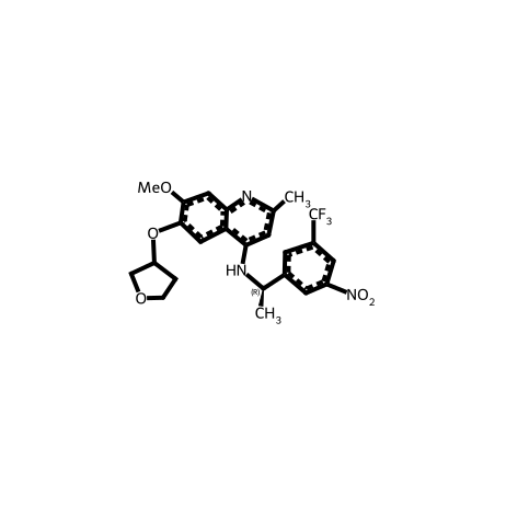 COc1cc2nc(C)cc(N[C@H](C)c3cc([N+](=O)[O-])cc(C(F)(F)F)c3)c2cc1OC1CCOC1